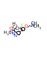 CC(C)c1c(=O)n(C)n2cnc3ccc(-c4ccc(OCCCN(C)C)c(F)c4)cc3c12